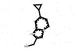 OCc1cn2ccc(C3CC3)cc2n1